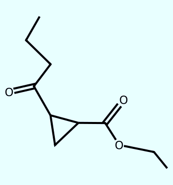 CCCC(=O)C1CC1C(=O)OCC